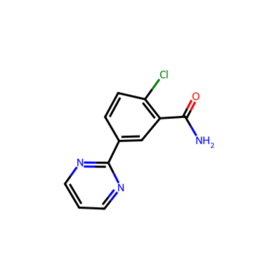 NC(=O)c1cc(-c2ncccn2)ccc1Cl